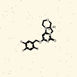 O=c1nc(OCc2cc(F)c(F)cc2F)cc2n1C[C@@H]1COCCN21